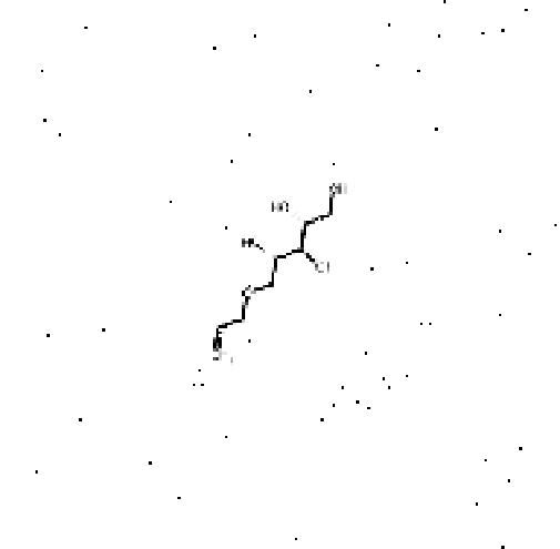 C=CCOC[C@H](O)[C@H](O)[C@H](O)CO